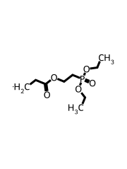 [CH2]CC(=O)OCCP(=O)(OCC)OCC